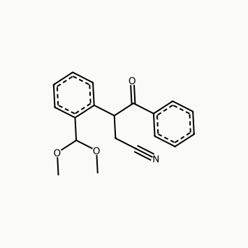 COC(OC)c1ccccc1C(CC#N)C(=O)c1ccccc1